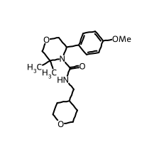 COc1ccc(C2COCC(C)(C)N2C(=O)NCC2CCOCC2)cc1